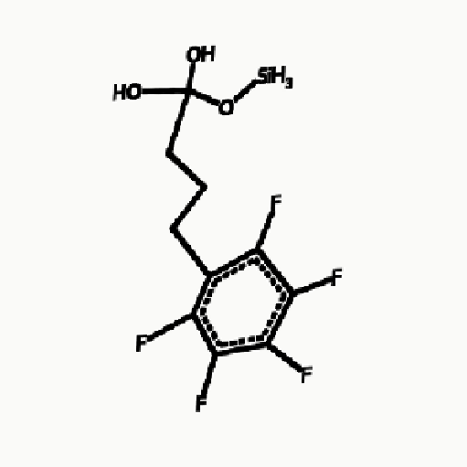 OC(O)(CCCc1c(F)c(F)c(F)c(F)c1F)O[SiH3]